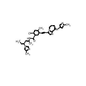 C/C=C(\C=C(\NC(=O)c1cc(C#Cc2cnc3c(Nc4cnn(C)c4)cccn23)c(C)cc1Cl)C(F)(F)F)n1cnc(C)c1